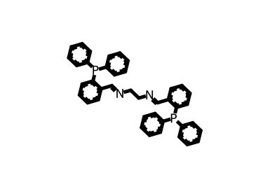 C(=N\CC/N=C/c1ccccc1P(c1ccccc1)c1ccccc1)/c1ccccc1P(c1ccccc1)c1ccccc1